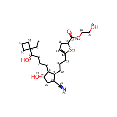 CCC1(C(O)CCCC2[C@@H](CCCC3=CCC(C(=O)OCCO)S3)C(C#N)C[C@H]2O)CCC1